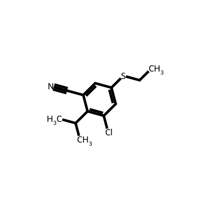 CCSc1cc(Cl)c(C(C)C)c(C#N)c1